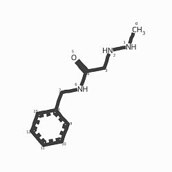 CNNCC(=O)N[CH]c1ccccc1